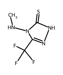 CNn1c(C(F)(F)F)n[nH]c1=S